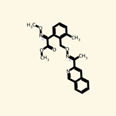 CO/N=C(/C(=O)OC)c1cccc(C)c1CO/N=C(\C)c1cc2ccccc2cn1